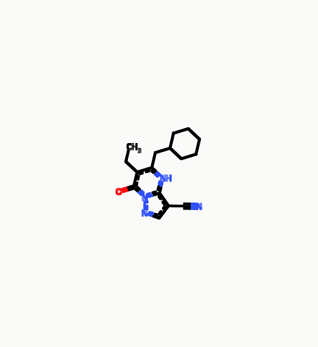 CCc1c(CC2CCCCC2)[nH]c2c(C#N)cnn2c1=O